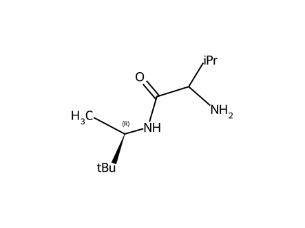 CC(C)C(N)C(=O)N[C@H](C)C(C)(C)C